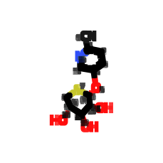 N#Cc1ccc(O[C@@H]2SC[C@@H](O)[C@H](O)[C@H]2O)cn1